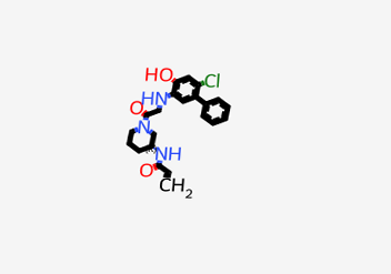 C=CC(=O)N[C@@H]1CCCN(C(=O)CNc2cc(-c3ccccc3)c(Cl)cc2O)C1